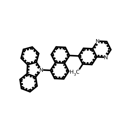 Cc1cc2nccnc2cc1-c1cccc2c(-n3c4ccccc4c4ccccc43)cccc12